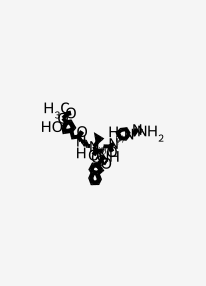 CC(=O)Oc1ccc(CC(=O)NCCN(C(=O)[C@H](CC(=O)NC[C@@H]2CCCN(C=NN)C2)NS(=O)(=O)c2ccc3ccccc3c2)C2CC2)cc1O